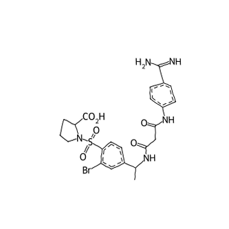 CC(NC(=O)CC(=O)Nc1ccc(C(=N)N)cc1)c1ccc(S(=O)(=O)N2CCCC2C(=O)O)c(Br)c1